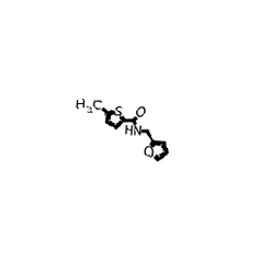 Cc1ccc(C(=O)NCc2ccco2)s1